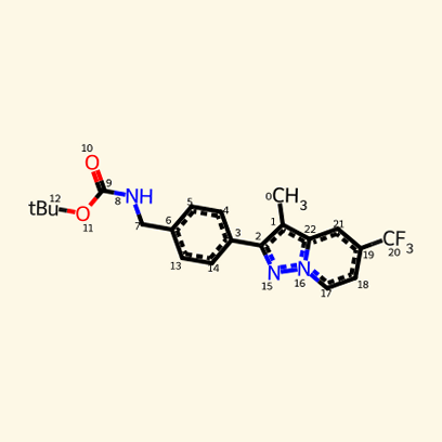 Cc1c(-c2ccc(CNC(=O)OC(C)(C)C)cc2)nn2ccc(C(F)(F)F)cc12